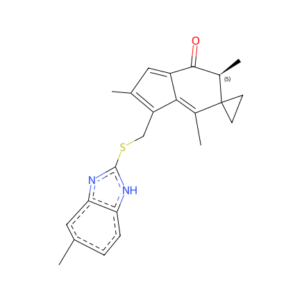 CC1=C(CSc2nc3cc(C)ccc3[nH]2)C2=C(C)C3(CC3)[C@H](C)C(=O)C2=C1